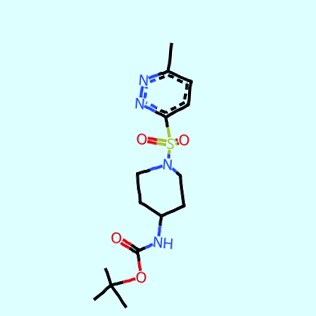 Cc1ccc(S(=O)(=O)N2CCC(NC(=O)OC(C)(C)C)CC2)nn1